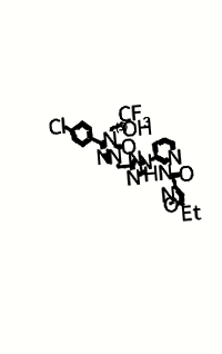 CCc1cc(C(=O)Nc2ncccc2-n2cnc(Cn3nc(-c4ccc(Cl)cc4)n(C[C@H](O)C(F)(F)F)c3=O)n2)no1